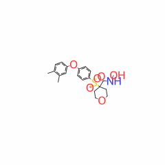 Cc1ccc(Oc2ccc(S(=O)(=O)C3(C(=O)NO)CCOCC3)cc2)cc1C